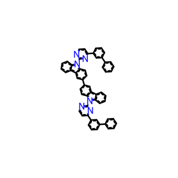 c1ccc(-c2cccc(-c3ccnc(-n4c5ccccc5c5cc(-c6ccc7c(c6)c6ccccc6n7-c6nccc(-c7cccc(-c8ccccc8)c7)n6)ccc54)n3)c2)cc1